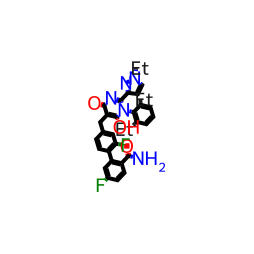 CCc1cccc(CC)c1-n1c(-c2ccn(CC)n2)nc(=O)c(Cc2ccc(-c3cc(F)ccc3C(N)=O)c(F)c2)c1O